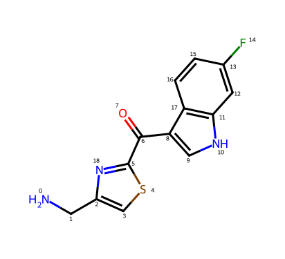 NCc1csc(C(=O)c2c[nH]c3cc(F)ccc23)n1